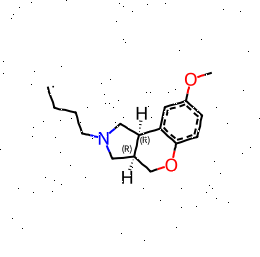 [CH2]CCCN1C[C@@H]2COc3ccc(OC)cc3[C@@H]2C1